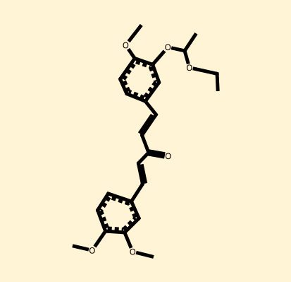 CCOC(C)Oc1cc(C=CC(=O)C=Cc2ccc(OC)c(OC)c2)ccc1OC